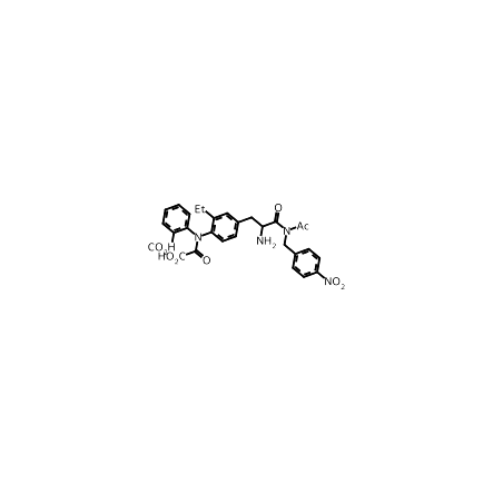 CCc1cc(CC(N)C(=O)N(Cc2ccc([N+](=O)[O-])cc2)C(C)=O)ccc1N(C(=O)C(=O)O)c1ccccc1C(=O)O